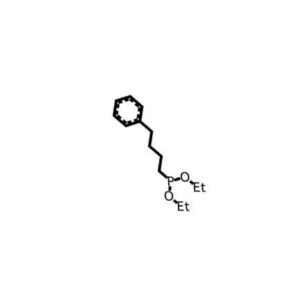 CCOP(CCCCc1ccccc1)OCC